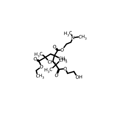 CCOC(=O)C(C)(C)CC(C)(CC(C)(C)C(=O)OCCO)C(=O)OCCN(C)C